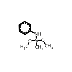 CO[Si](C)(Nc1ccccc1)OC